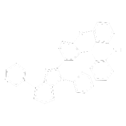 c1ccc(-n2c(-c3ccc4c(c3)B3c5ccccc5Nc5cccc(c53)N4)nc3c(-c4cccnc4)cccc32)cc1